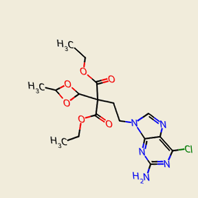 CCOC(=O)C(CCn1cnc2c(Cl)nc(N)nc21)(C(=O)OCC)C1OC(C)O1